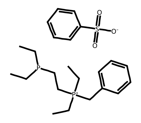 CCP(CC)CC[P+](CC)(CC)Cc1ccccc1.O=S(=O)([O-])c1ccccc1